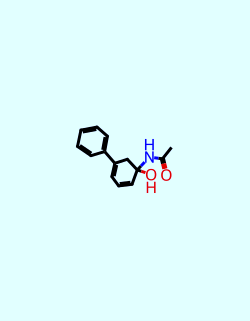 CC(=O)NC1(O)C=CC=C(c2ccccc2)C1